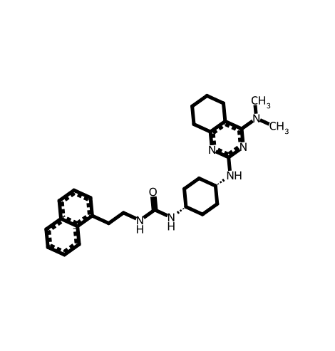 CN(C)c1nc(N[C@H]2CC[C@@H](NC(=O)NCCc3cccc4ccccc34)CC2)nc2c1CCCC2